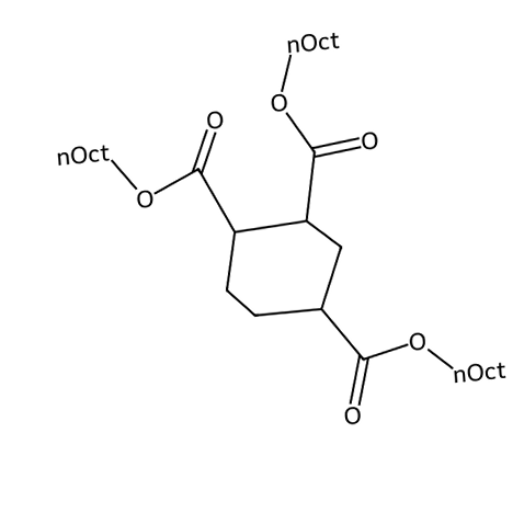 CCCCCCCCOC(=O)C1CCC(C(=O)OCCCCCCCC)C(C(=O)OCCCCCCCC)C1